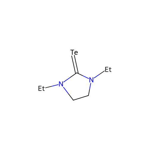 CCN1CCN(CC)C1=[Te]